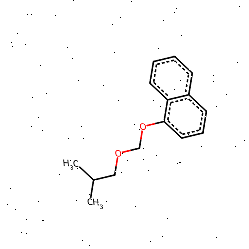 CC(C)COCOc1cccc2ccccc12